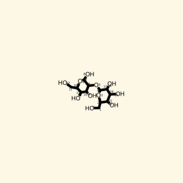 OCC1OC(OC2C(O)OC(CO)C(O)C2O)C(O)C(O)C1O